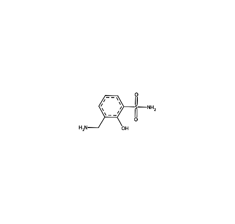 NCc1cccc(S(N)(=O)=O)c1O